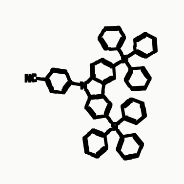 N#Cc1ccc(-n2c3ccc([Si](c4ccccc4)(c4ccccc4)c4ccccc4)cc3c3cc([Si](c4ccccc4)(c4ccccc4)c4ccccc4)ccc32)cc1